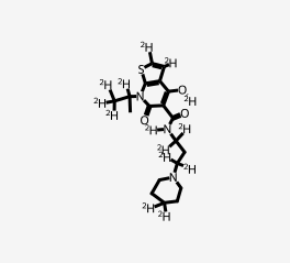 [2H]Oc1c(C(=O)N([2H])C([2H])([2H])CC([2H])([2H])N2CCC([2H])([2H])CC2)c(=O)n(C([2H])(C)C([2H])([2H])[2H])c2sc([2H])c([2H])c12